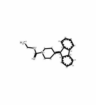 CCOC(=O)N1CCC(=C2c3ccccc3-c3ccccc32)CC1